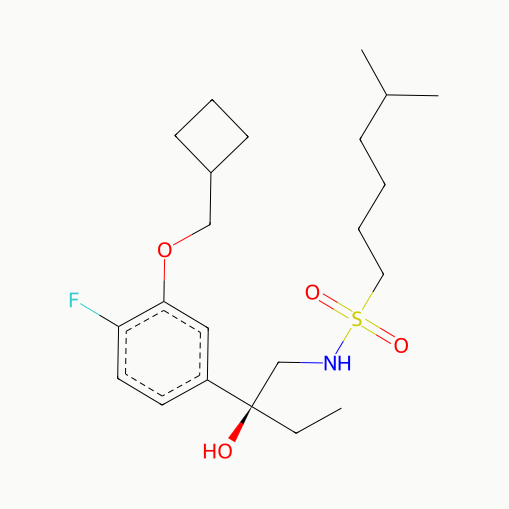 CC[C@@](O)(CNS(=O)(=O)CCCCC(C)C)c1ccc(F)c(OCC2CCC2)c1